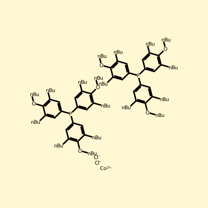 CCCCOc1c(CCCC)cc(P(c2cc(CCCC)c(OCCCC)c(CCCC)c2)c2cc(CCCC)c(OCCCC)c(CCCC)c2)cc1CCCC.CCCCOc1c(CCCC)cc(P(c2cc(CCCC)c(OCCCC)c(CCCC)c2)c2cc(CCCC)c(OCCCC)c(CCCC)c2)cc1CCCC.[Cl-].[Cl-].[Co+2]